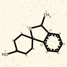 CC1OC2(CCC(O)CC2)c2ccccc21